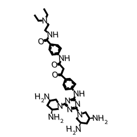 CCN(CC)CCNC(=O)c1ccc(NC(=O)CC(=O)c2ccc(Nc3nc(N4C[C@H](N)C[C@H](N)C4)nc(N4C[C@H](N)C[C@H](N)C4)n3)cc2)cc1